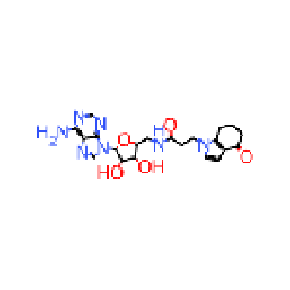 Nc1ncnc2c1ncn2C1OC(CNC(=O)CCn2ccc3c2CCCC3=O)C(O)C1O